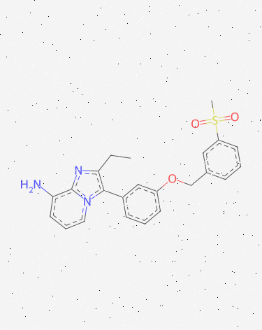 CCc1nc2c(N)cccn2c1-c1cccc(OCc2cccc(S(C)(=O)=O)c2)c1